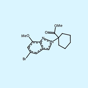 COC(=O)C1(n2cc3cc(Br)cc(OC)c3n2)CCCCC1